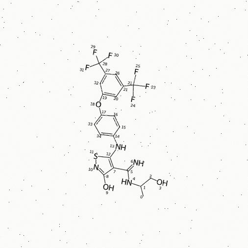 CC(CO)NC(=N)c1c(O)nsc1Nc1ccc(Oc2cc(C(F)(F)F)cc(C(F)(F)F)c2)cc1